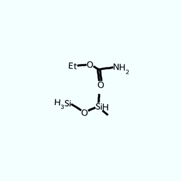 CCOC(N)=O.C[SiH](C)O[SiH3]